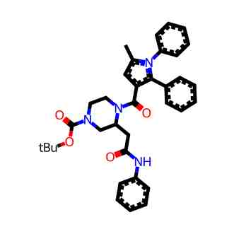 Cc1cc(C(=O)N2CCN(C(=O)OC(C)(C)C)CC2CC(=O)Nc2ccccc2)c(-c2ccccc2)n1-c1ccccc1